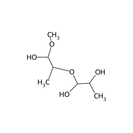 COC(O)C(C)OC(O)C(C)O